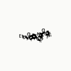 CCOCCN1Cc2cc(N3CCOc4cc(C(=O)N5CCC(F)(F)C5)cnc43)ccc2C1=O